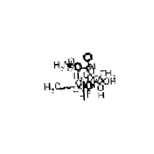 CCCCCOC(=O)Nc1nc(=O)n([C@@H]2O[C@H](C)[C@@H](O)[C@H]2O)cc1F.Cc1onc(-c2ccccc2)c1-c1ccc(S(N)(=O)=O)cc1